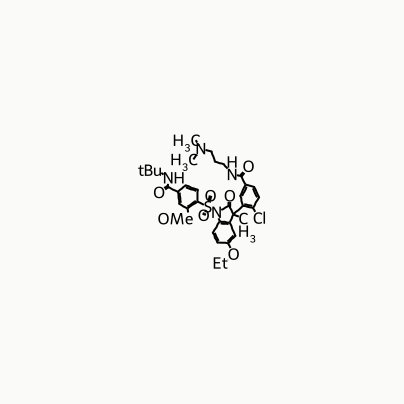 CCOc1ccc2c(c1)C(C)(c1cc(C(=O)NCCCN(C)C)ccc1Cl)C(=O)N2S(=O)(=O)c1ccc(C(=O)NC(C)(C)C)cc1OC